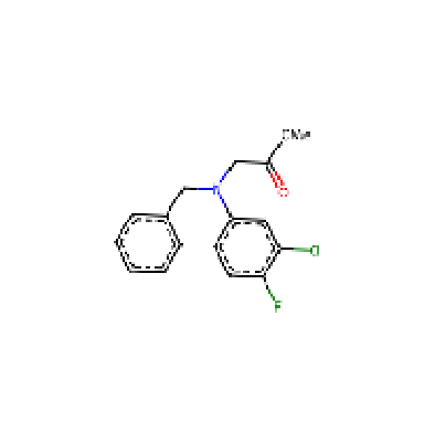 COC(=O)CN(Cc1ccccc1)c1ccc(F)c(Cl)c1